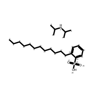 CC(C)NC(C)C.CCCCCCCCCCCCc1ccccc1S(=O)(=O)O